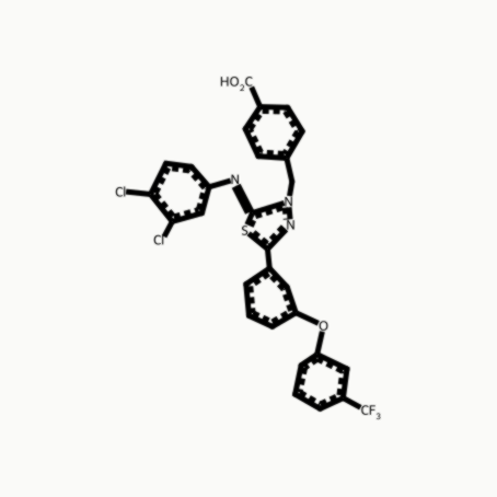 O=C(O)c1ccc(Cn2nc(-c3cccc(Oc4cccc(C(F)(F)F)c4)c3)sc2=Nc2ccc(Cl)c(Cl)c2)cc1